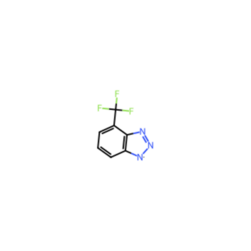 FC(F)(F)c1cccc2c1N=N[N]2